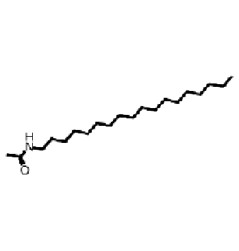 CCCCCCCCCCCCCCCCCCNC(C)=O